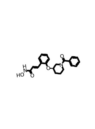 O=C(C=Cc1ccccc1O[C@@H]1CCCN(C(=O)c2ccccc2)C1)NO